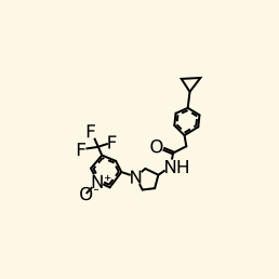 O=C(Cc1ccc(C2CC2)cc1)NC1CCN(c2cc(C(F)(F)F)c[n+]([O-])c2)C1